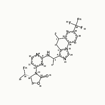 CC1Cc2c(C(C)Nc3nccc(N4C(=O)OC[C@@H]4C(C)F)n3)ncn2-c2ccc(C(F)(F)F)cc21